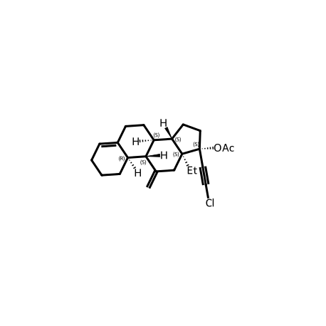 C=C1C[C@@]2(CC)[C@@H](CC[C@]2(C#CCl)OC(C)=O)[C@@H]2CCC3=CCCC[C@@H]3[C@@H]12